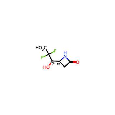 O=C1C[C@@H]([C@@H](O)C(F)(F)C(=O)O)N1